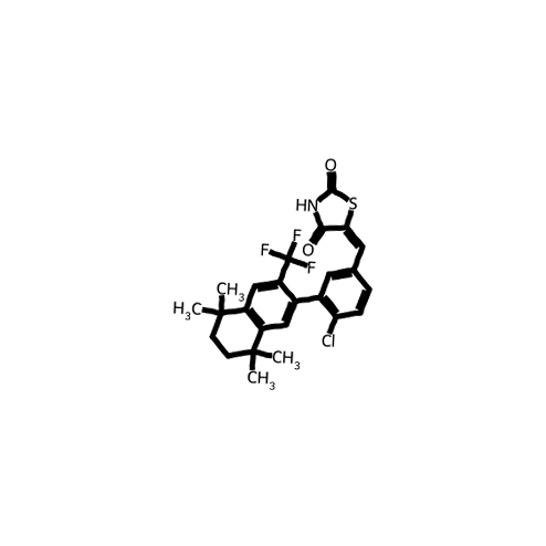 CC1(C)CCC(C)(C)c2cc(C(F)(F)F)c(-c3cc(C=C4SC(=O)NC4=O)ccc3Cl)cc21